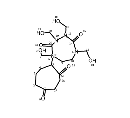 O=C1CCCC([N+]2(CO)CCN(CO)C(=O)N(CO)N(CO)C2=O)C(=O)CC1